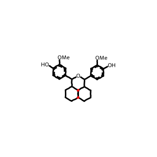 COc1cc(C(OC(c2ccc(O)c(OC)c2)C2CCCCC2)C2CCCCC2)ccc1O